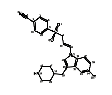 N#Cc1ccc(S(=O)(=O)CC=Cn2cc(CC3CCNCC3)c3cc(F)ccc32)cc1